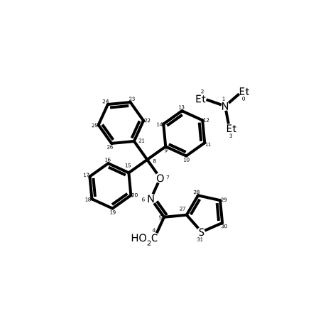 CCN(CC)CC.O=C(O)/C(=N/OC(c1ccccc1)(c1ccccc1)c1ccccc1)c1cccs1